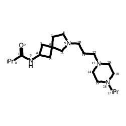 CC(C)C(=O)NC1CC2(CCN(CCCN3CCN(C(C)C)CC3)C2)C1